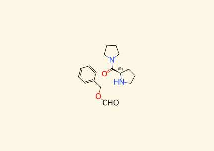 O=C([C@H]1CCCN1)N1CCCC1.O=COCc1ccccc1